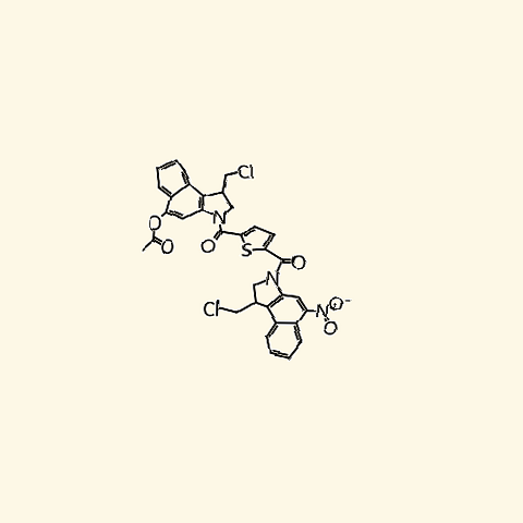 CC(=O)Oc1cc2c(c3ccccc13)C(CCl)CN2C(=O)c1ccc(C(=O)N2CC(CCl)c3c2cc([N+](=O)[O-])c2ccccc32)s1